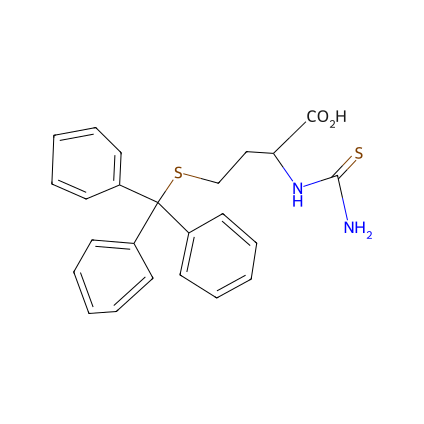 NC(=S)NC(CCSC(c1ccccc1)(c1ccccc1)c1ccccc1)C(=O)O